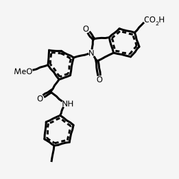 COc1ccc(N2C(=O)c3ccc(C(=O)O)cc3C2=O)cc1C(=O)Nc1ccc(C)cc1